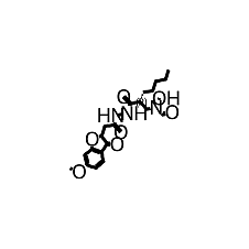 CCCCC[C@H](CN(O)C=O)C(=O)NNC(=O)CC1Oc2cc(OC)ccc2C1=O